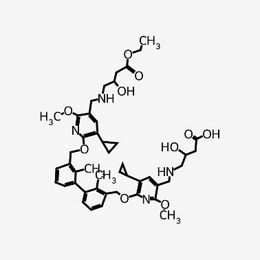 CCOC(=O)CC(O)CNCc1cc(C2CC2)c(OCc2cccc(-c3cccc(COc4nc(OC)c(CNCC(O)CC(=O)O)cc4C4CC4)c3C)c2C)nc1OC